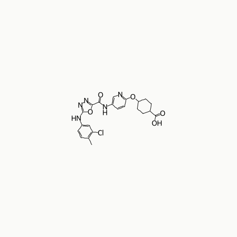 Cc1ccc(Nc2nnc(C(=O)Nc3ccc(OC4CCC(C(=O)O)CC4)nc3)o2)cc1Cl